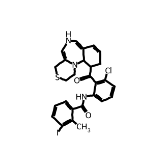 Cc1c(I)cccc1C(=O)Nc1cccc(Cl)c1C(=O)C1CC=CC2=CNC=C3CSCCN3C21